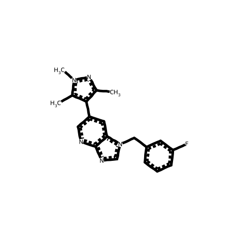 Cc1nn(C)c(C)c1-c1cnc2ncn(Cc3cccc(F)c3)c2c1